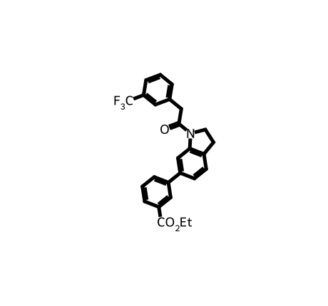 CCOC(=O)c1cccc(-c2ccc3c(c2)N(C(=O)Cc2cccc(C(F)(F)F)c2)CC3)c1